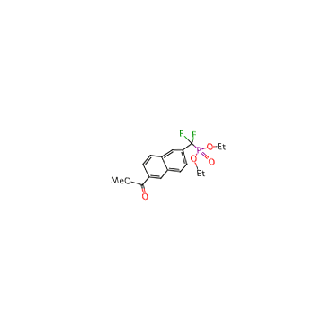 CCOP(=O)(OCC)C(F)(F)c1ccc2cc(C(=O)OC)ccc2c1